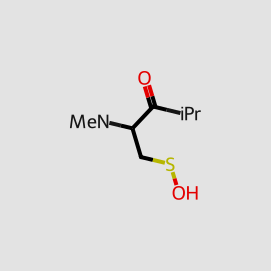 CNC(CSO)C(=O)C(C)C